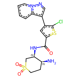 N[C@H]1CCS(=O)(=O)C[C@H]1NC(=O)c1cc(-c2cnn3ccccc23)c(Cl)s1